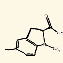 CCCC(=O)[C@@H]1Cc2cc(C)ccc2N1N